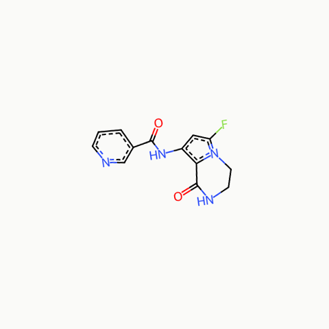 O=C(Nc1cc(F)n2c1C(=O)NCC2)c1cccnc1